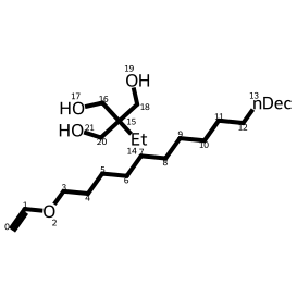 C=COCCCCCCCCCCCCCCCCCCCC.CCC(CO)(CO)CO